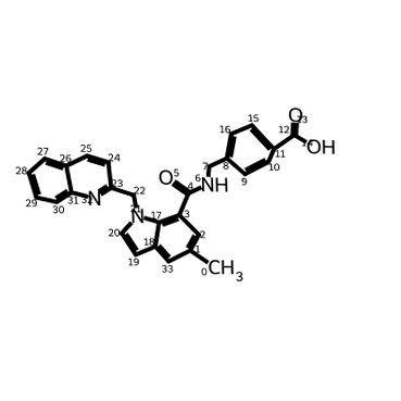 Cc1cc(C(=O)NCc2ccc(C(=O)O)cc2)c2c(ccn2Cc2ccc3ccccc3n2)c1